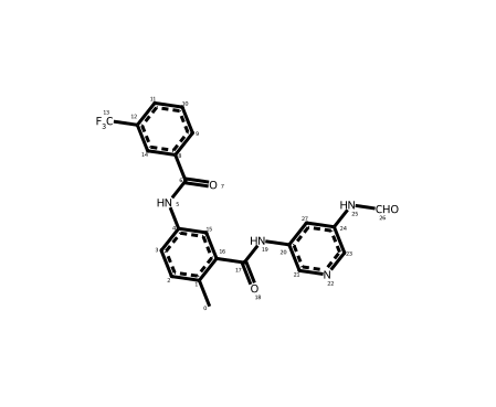 Cc1ccc(NC(=O)c2cccc(C(F)(F)F)c2)cc1C(=O)Nc1cncc(NC=O)c1